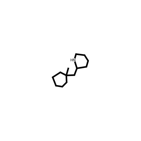 CC1(CC2CCCCN2)CCCCC1